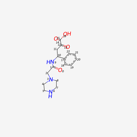 O=C(CN1CCNCC1)NC(CC(=O)C(=O)O)c1ccccc1